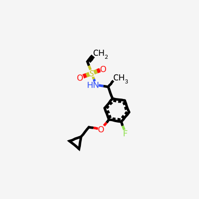 C=CS(=O)(=O)NC(C)c1ccc(F)c(OCC2CC2)c1